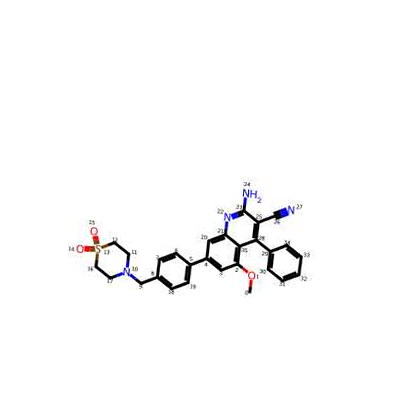 COc1cc(-c2ccc(CN3CCS(=O)(=O)CC3)cc2)cc2nc(N)c(C#N)c(-c3ccccc3)c12